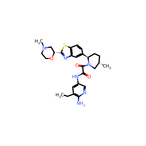 CCc1cc(NC(=O)C(=O)N2C[C@@H](C)CC[C@@H]2c2ccc3sc([C@H]4CN(C)CCO4)nc3c2)cnc1N